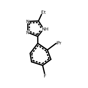 CCc1nnc(-c2ccc(F)cc2C(C)C)[nH]1